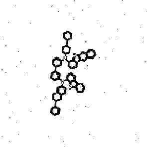 c1ccc(-c2ccc(N(c3cccc(-c4cccc(N(c5ccc6cc(-c7ccccc7)ccc6c5)c5cccc6c5sc5ccccc56)c4)c3)c3cccc4c3sc3cc5ccccc5cc34)cc2)cc1